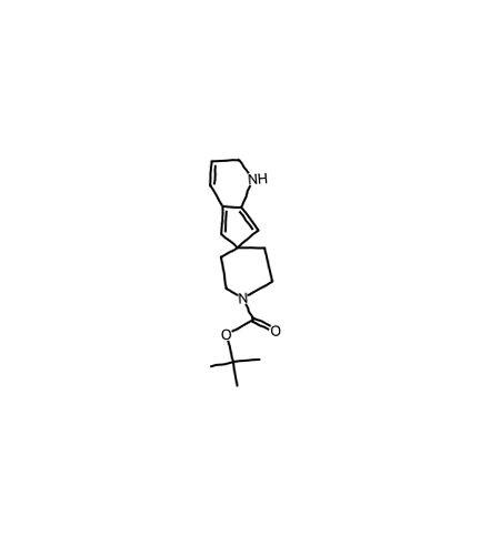 CC(C)(C)OC(=O)N1CCC2(C=C3C=CCNC3=C2)CC1